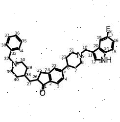 O=C1c2ccc(C3CCN(Cc4c[nH]c5ccc(F)cc45)CC3)cc2CC1CC1CCN(Cc2ccccc2)CC1